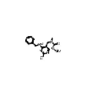 CN(Cc1cnc(Cl)nc1NCc1ccccc1)C(=O)OC(C)(C)C